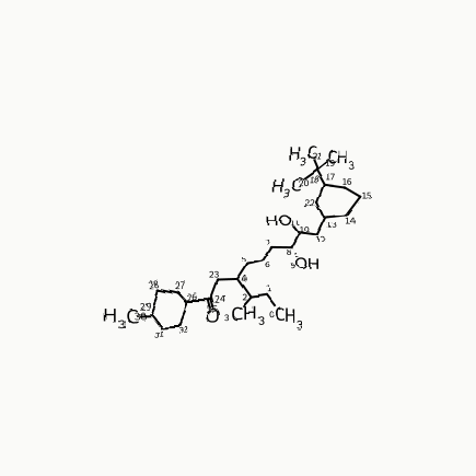 CCC(C)C(CCC[C@@H](O)C(O)CC1CCCC(C(C)(C)C)C1)CC(=O)C1CCC(C)CC1